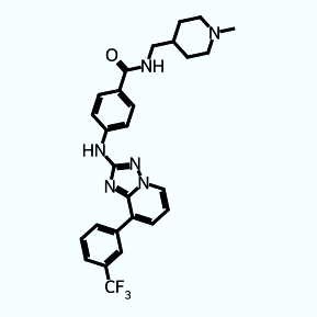 CN1CCC(CNC(=O)c2ccc(Nc3nc4c(-c5cccc(C(F)(F)F)c5)cccn4n3)cc2)CC1